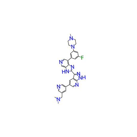 CN(C)Cc1cncc(-c2cnc3[nH]nc(-c4nc5c(-c6cc(F)cc(N7CCN(C)CC7)c6)cncc5[nH]4)c3c2)c1